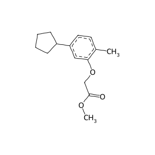 COC(=O)COc1cc(C2CCCC2)ccc1C